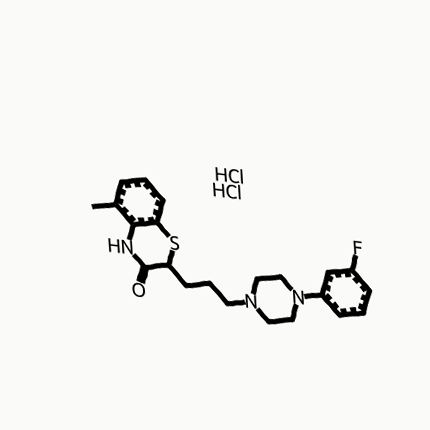 Cc1cccc2c1NC(=O)C(CCCN1CCN(c3cccc(F)c3)CC1)S2.Cl.Cl